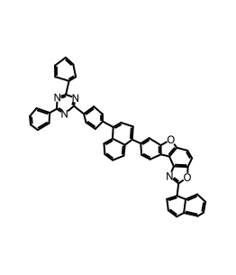 c1ccc(-c2nc(-c3ccccc3)nc(-c3ccc(-c4ccc(-c5ccc6c(c5)oc5ccc7oc(-c8cccc9ccccc89)nc7c56)c5ccccc45)cc3)n2)cc1